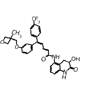 CC1(COc2cccc(/C(=C\C=C\C(=O)Nc3cccc4c3CC(O)C(=O)N4)c3ccc(C(F)(F)F)cc3)c2)COC1